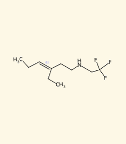 CC/C=C(\CC)CCNCC(F)(F)F